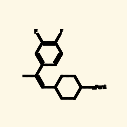 CCCCCC1CCC(C=C(C)c2ccc(F)c(F)c2)CC1